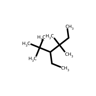 [CH2]C(C)(C)C(CC)C(C)(C)CC